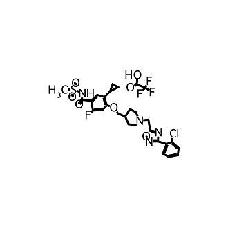 CS(=O)(=O)NC(=O)c1cc(C2CC2)c(OCC2CCN(Cc3nc(-c4ccccc4Cl)no3)CC2)cc1F.O=C(O)C(F)(F)F